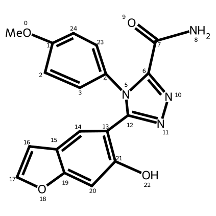 COc1ccc(-n2c(C(N)=O)nnc2-c2cc3ccoc3cc2O)cc1